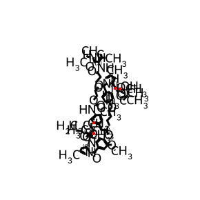 C=CCOC(=O)Nc1cc(O[C@@H](CCCCOc2cc(NC(=O)O)c(C(=O)N3C=C(C)C[C@H]3CO[Si](C)(C)C(C)(C)C)cc2OC)Cc2ccc(NC(=O)OCCOCCC(=O)N[C@H](C(=O)NC(C)C)C(C)C)cc2)c(OC)cc1C(=O)N1C=C(C)C[C@H]1CO[Si](C)(C)C(C)(C)C